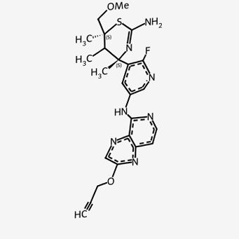 C#CCOc1cnc2c(Nc3cnc(F)c([C@@]4(C)N=C(N)S[C@](C)(COC)C4C)c3)nccc2n1